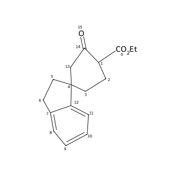 CCOC(=O)C1CCC2(CCc3ccccc32)CC1=O